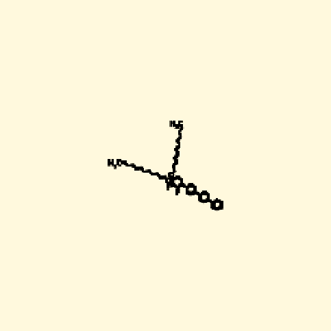 CCCCCCCCCCCCOC1(OCCCCCCCCCCCC)C=CC(c2ccc(-c3ccc(-c4ccccc4)cc3)cc2)=C(F)C1F